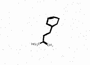 C=C(CCC1CC=CCC1)C(=O)O